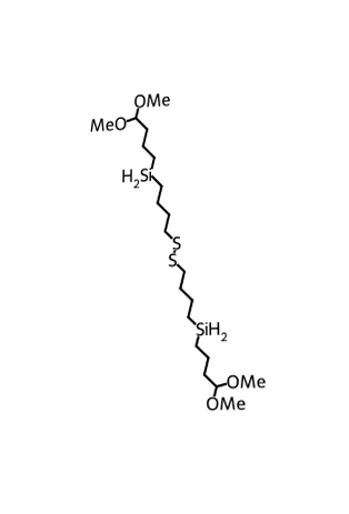 COC(CCC[SiH2]CCCCSSCCCC[SiH2]CCCC(OC)OC)OC